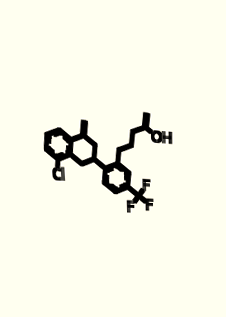 C=C(O)CCCc1cc(C(F)(F)F)ccc1C1CC(=C)c2cccc(Cl)c2C1